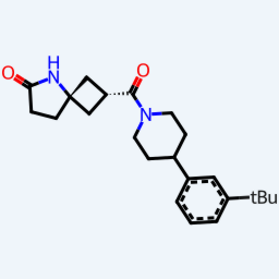 CC(C)(C)c1cccc(C2CCN(C(=O)[C@H]3C[C@]4(CCC(=O)N4)C3)CC2)c1